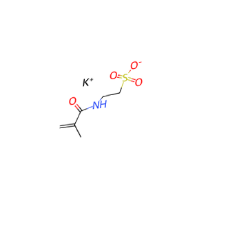 C=C(C)C(=O)NCCS(=O)(=O)[O-].[K+]